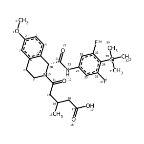 COc1ccc2c(c1)CCN(C(=O)CC(C)CC(=O)O)[C@H]2C(=O)Nc1cc(F)c([Si](C)(C)C)c(F)c1